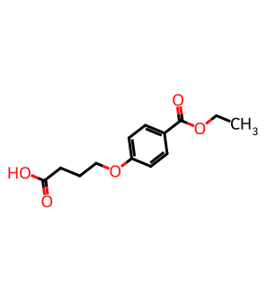 CCOC(=O)c1ccc(OCCCC(=O)O)cc1